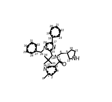 Cc1ccc(C(=O)N(C[C@H]2CCNC2)[C@@H](c2nc(-c3ccccc3)cn2Cc2ccccc2)C(C)(C)C)cn1